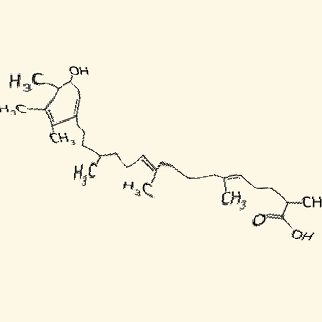 CC1=C(C)C(C)C(O)C=C1CCC(C)CC/C=C(\C)CCC/C(C)=C/CCC(C)C(=O)O